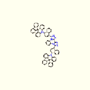 c1ccc(C2(c3ccccc3)c3ccccc3N(c3ccc(-c4nnc5c6nnc(-c7ccc(N8c9ccccc9C(c9ccccc9)(c9ccccc9)c9ccccc98)c8ccccc78)n6c6ccccc6n45)c4ccccc34)c3ccccc32)cc1